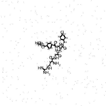 Cl.Cl.Cl.N=C(N)NCCC[C@H](N)C(=O)NCC(=O)OCN1C(=O)N(Cc2ccc(Cl)cc2)SC1NC(=O)c1ccc(Cl)cc1